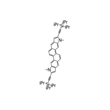 CC(C)[Si](C#Cc1cc2cc3ccc4c5cc6c(cc(C#C[Si](C(C)C)(C(C)C)C(C)C)n6C)cc5ccc4c3cc2n1C)(C(C)C)C(C)C